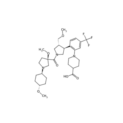 COC[C@H]1CN(C(=O)[C@@]2(OC)CCN([C@H]3CC[C@H](OC)CC3)C2)C[C@@H]1c1ccc(C(F)(F)F)cc1N1CCC(C(=O)O)CC1